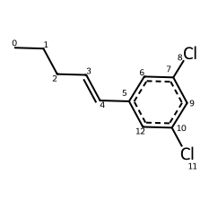 CCCC=Cc1cc(Cl)cc(Cl)c1